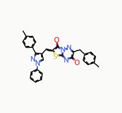 Cc1ccc(Cc2nn3c(=O)/c(=C/c4cn(-c5ccccc5)nc4-c4ccc(C)cc4)sc3nc2=O)cc1